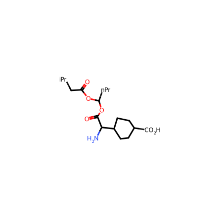 CCCC(OC(=O)CC(C)C)OC(=O)C(N)C1CCC(C(=O)O)CC1